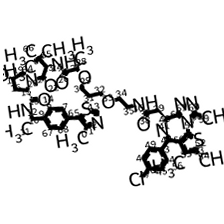 Cc1ncsc1-c1ccc([C@H](C)NC(=O)[C@@H]2C[C@@H](O)CN2C(=O)[C@@H](NC(=O)[C@H](C)OCCCOCCNC(=O)C[C@@H]2N=C(c3ccc(Cl)cc3)c3c(sc(C)c3C)-n3c(C)nnc32)C(C)(C)C)cc1